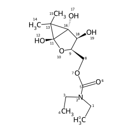 CCN(CC)C(=O)OC[C@H]1O[C@]2(O)C(C)(C)[C@@]2(O)[C@H]1O